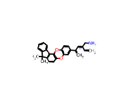 C=C/C(=C\C(=C)c1ccc2c(c1)Oc1ccc3c(c1O2)-c1ccccc1C3(C)C)CN